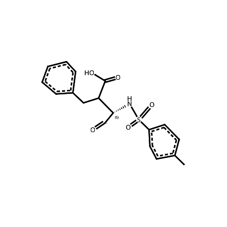 Cc1ccc(S(=O)(=O)N[C@H]([C]=O)C(Cc2ccccc2)C(=O)O)cc1